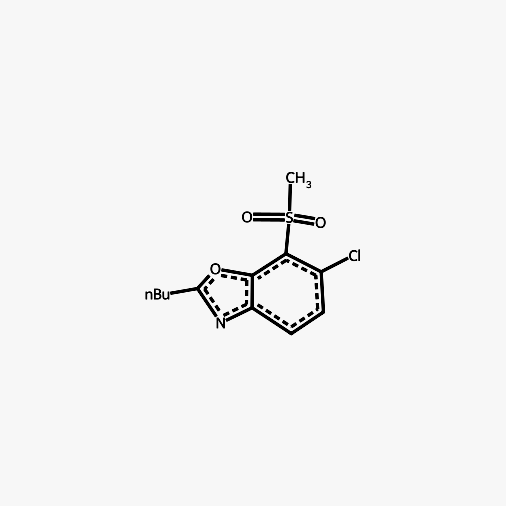 CCCCc1nc2ccc(Cl)c(S(C)(=O)=O)c2o1